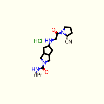 CCCNC(=O)N1CC2CC(NCC(=O)N3CCC[C@H]3C#N)CC2C1.Cl